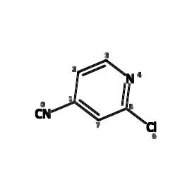 [C-]#[N+]c1ccnc(Cl)c1